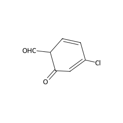 O=CC1C=CC(Cl)=CC1=O